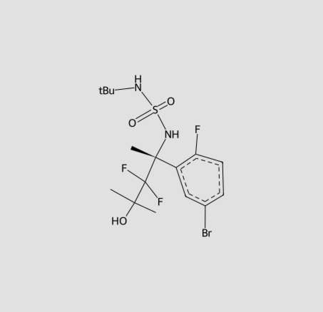 CC(C)(C)NS(=O)(=O)N[C@](C)(c1cc(Br)ccc1F)C(F)(F)C(C)(C)O